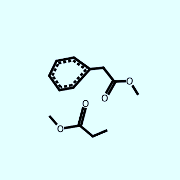 CCC(=O)OC.COC(=O)Cc1ccccc1